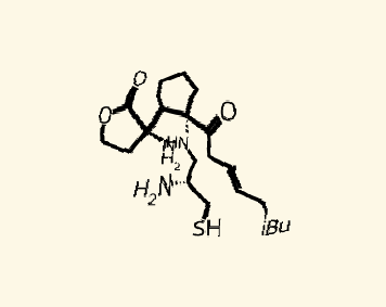 CC[C@H](C)CC=CCC(=O)[C@]1(NC[C@@H](N)CS)CCCC1[C@]1(N)CCOC1=O